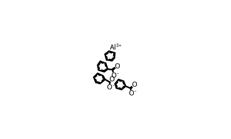 O=C([O-])c1ccccc1.O=C([O-])c1ccccc1.O=C([O-])c1ccccc1.[Al+3].c1ccccc1